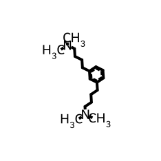 CN(C)CCCCc1cccc(CCCCN(C)C)c1